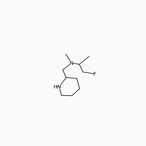 CC(CF)N(C)CC1CCCCN1